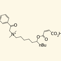 CCCCC(CCCCC[N+](C)(C)CC(=O)c1ccccc1)OC(=O)/C=C\C(=O)O